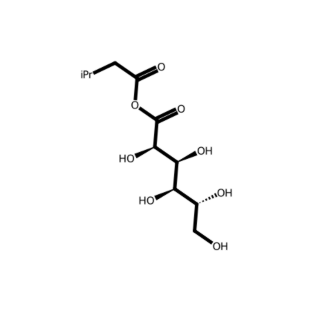 CC(C)CC(=O)OC(=O)[C@H](O)[C@@H](O)[C@H](O)[C@H](O)CO